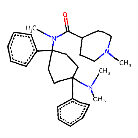 CN1CCC(C(=O)N(C)C2(c3ccccc3)CCC(c3ccccc3)(N(C)C)CC2)CC1